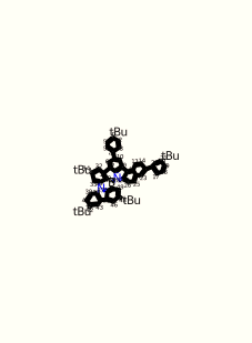 CC(C)(C)c1ccc(-c2cc3c4c(c2)c2c5ccc(-c6cccc(C(C)(C)C)c6)cc5ccc2n4B2c4c-3cc(C(C)(C)C)cc4-n3c4ccc(C(C)(C)C)cc4c4cc(C(C)(C)C)cc2c43)cc1